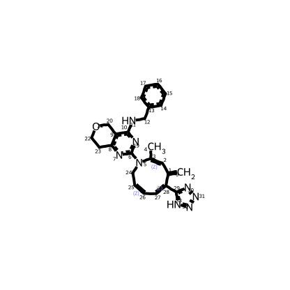 C=C1/C=C(/C)N(c2nc3c(c(NCc4ccccc4)n2)COCC3)C/C=C\C=C/1c1nnn[nH]1